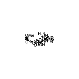 COCC(C)(C)C(=O)SCCOP1(=O)OCC2O[C@@H](n3cnc4c(N(C)NS(C)(=O)=O)nc(N)nc43)[C@](C)(O)[C@@H]2O1